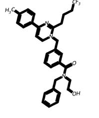 Cc1ccc(C2=CCN(Cc3cccc(C(=O)N(CCO)Cc4ccccc4)c3)C(CCCC(F)(F)F)=N2)cc1